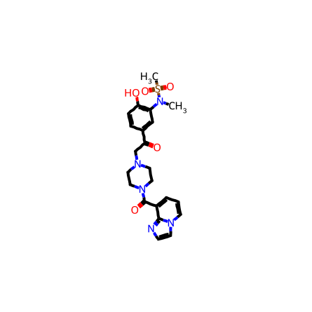 CN(c1cc(C(=O)CN2CCN(C(=O)c3cccn4ccnc34)CC2)ccc1O)S(C)(=O)=O